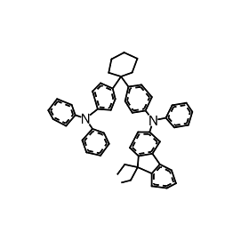 CCC1(CC)c2ccccc2-c2cc(N(c3ccccc3)c3ccc(C4(c5ccc(N(c6ccccc6)c6ccccc6)cc5)CCCCC4)cc3)ccc21